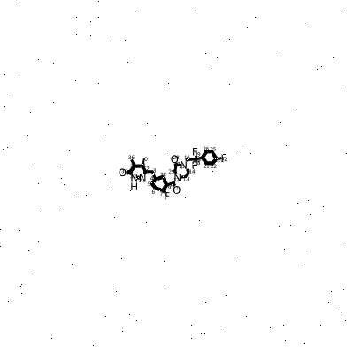 Cc1c(Cc2ccc(F)c(C(=O)N3CCN(CC(F)(F)c4ccc(F)cc4)C(=O)C3)c2)n[nH]c(=O)c1C